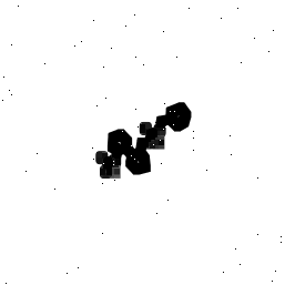 O=C(O)Oc1ccccc1-c1ccccc1CNC(=O)OCc1ccccc1